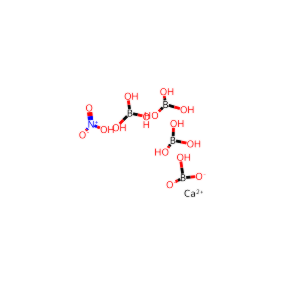 O=[N+]([O-])O.OB(O)O.OB(O)O.OB(O)O.[Ca+2].[O-]B([O-])O